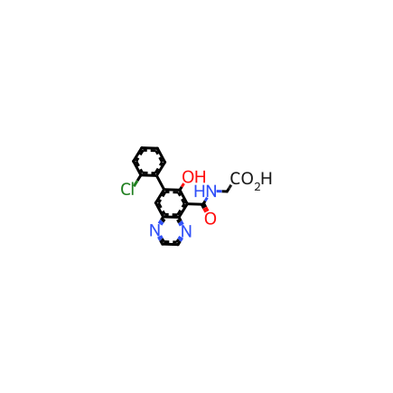 O=C(O)CNC(=O)c1c(O)c(-c2ccccc2Cl)cc2nccnc12